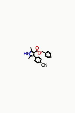 Cc1[nH]c(C)c(-c2ccc(C#N)cc2)c1C(=O)OCc1ccccc1